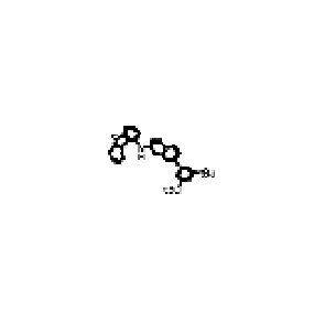 CC(C)(C)c1cc(-c2ccc3ccc(Nc4cccc5sc6ccccc6c45)cc3c2)cc(C(C)(C)C)c1